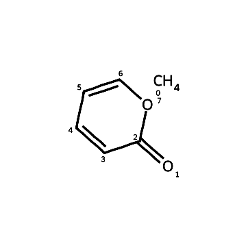 C.O=c1cccco1